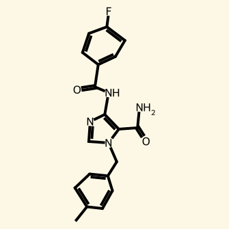 Cc1ccc(Cn2cnc(NC(=O)c3ccc(F)cc3)c2C(N)=O)cc1